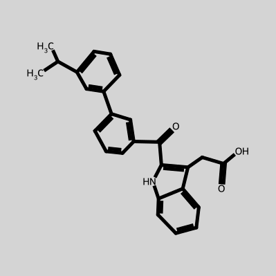 CC(C)c1cccc(-c2cccc(C(=O)c3[nH]c4ccccc4c3CC(=O)O)c2)c1